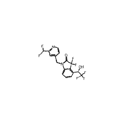 O=C1N(Cc2ccnc(C(F)F)c2)c2cccc([C@@H](O)C(F)(F)F)c2C1(F)F